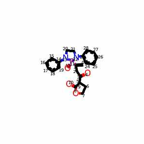 C=C(CC(=O)C1CCOC1=O)P1(=O)N(c2ccccc2)CCN1c1ccccc1